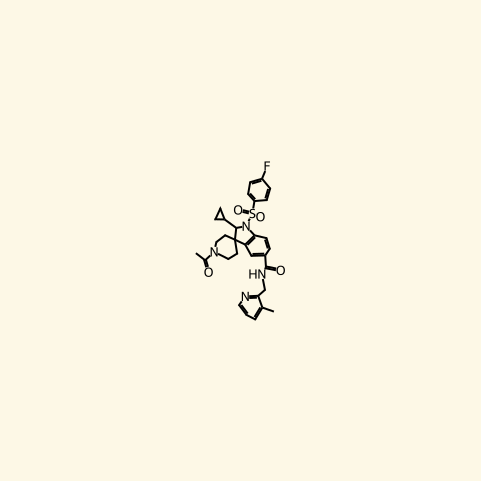 CC(=O)N1CCC2(CC1)c1cc(C(=O)NCc3ncccc3C)ccc1N(S(=O)(=O)c1ccc(F)cc1)C2C1CC1